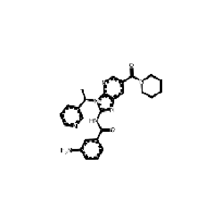 CC(c1cccnc1)n1c(NC(=O)c2cccc(N)c2)nc2cc(C(=O)N3CCCCC3)cnc21